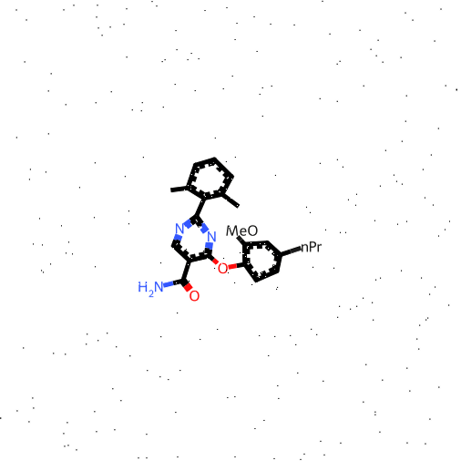 CCCc1ccc(Oc2nc(-c3c(C)cccc3C)ncc2C(N)=O)c(OC)c1